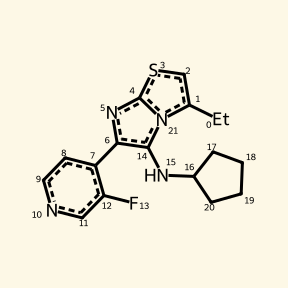 CCc1csc2nc(-c3ccncc3F)c(NC3CCCC3)n12